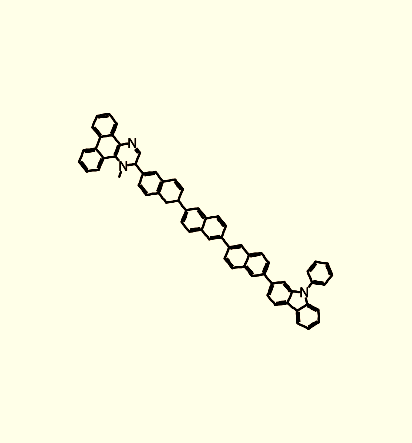 CN1c2c(c3ccccc3c3ccccc23)N=CC1c1ccc2c(c1)C=CC(c1ccc3cc(-c4ccc5cc(-c6ccc7c8ccccc8n(-c8ccccc8)c7c6)ccc5c4)ccc3c1)C2